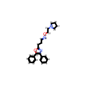 C(CCc1nc(-c2ccccc2)c(-c2ccccc2)o1)=NOCCN1CCCC1